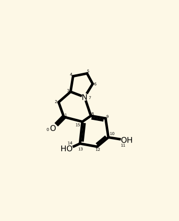 O=C1CC2CCCN2c2cc(O)cc(O)c21